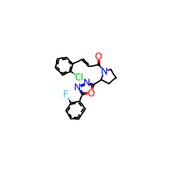 O=C(C=Cc1ccccc1Cl)N1CCCC1c1nnc(-c2ccccc2F)o1